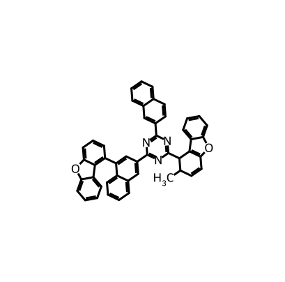 CC1C=Cc2oc3ccccc3c2C1c1nc(-c2ccc3ccccc3c2)nc(-c2cc(-c3cccc4oc5ccccc5c34)c3ccccc3c2)n1